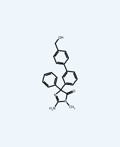 CN1C(=O)C(c2ccccc2)(c2cccc(-c3ccc(CO)cc3)c2)N=C1N